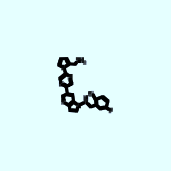 NCc1cccn1-c1cnc(-c2cnc3ccn(NCc4cc(F)ccc4Cl)c3c2)cn1